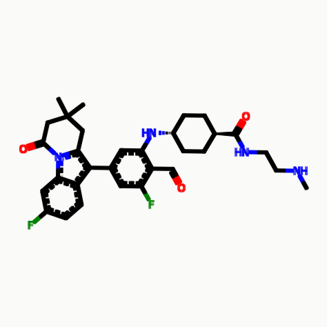 CNCCNC(=O)[C@H]1CC[C@H](Nc2cc(-c3c4n(c5cc(F)ccc35)C(=O)CC(C)(C)C4)cc(F)c2C=O)CC1